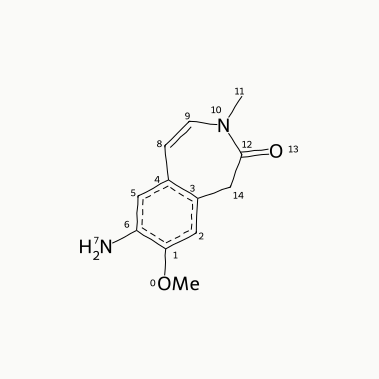 COc1cc2c(cc1N)C=CN(C)C(=O)C2